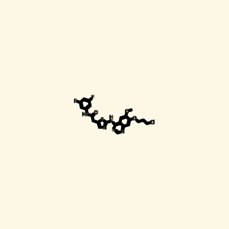 COc1cc2c(Nc3ncc(CC(=O)Nc4cc(F)cc(F)c4)s3)ncnc2cc1OCCCCl